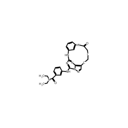 CCN(CC)C(=O)c1cccc(Nc2nc3nc4c(cnn24)CCCCC(=O)Nc2cccc(c2)N3)c1